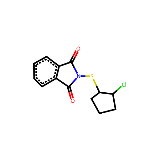 O=C1c2ccccc2C(=O)N1SC1CCCC1Cl